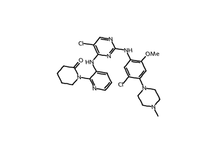 COc1cc(N2CCN(C)CC2)c(Cl)cc1Nc1ncc(Cl)c(Nc2cccnc2N2CCCCC2=O)n1